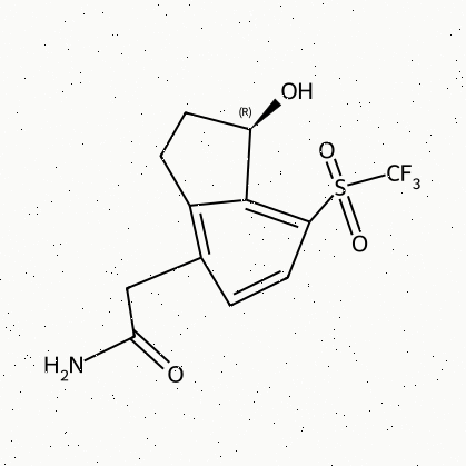 NC(=O)Cc1ccc(S(=O)(=O)C(F)(F)F)c2c1CC[C@H]2O